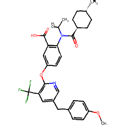 COc1ccc(Cc2cnc(Oc3ccc(N(C(=O)[C@H]4CC[C@H](C)CC4)C(C)C)c(C(=O)O)c3)c(C(F)(F)F)c2)cc1